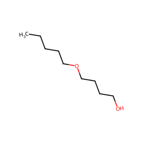 CCCC[CH]OCCCCO